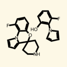 Fc1cccc2c1-n1cccc1C1(CCNCC1)O2.Oc1cccc(F)c1-n1cccc1